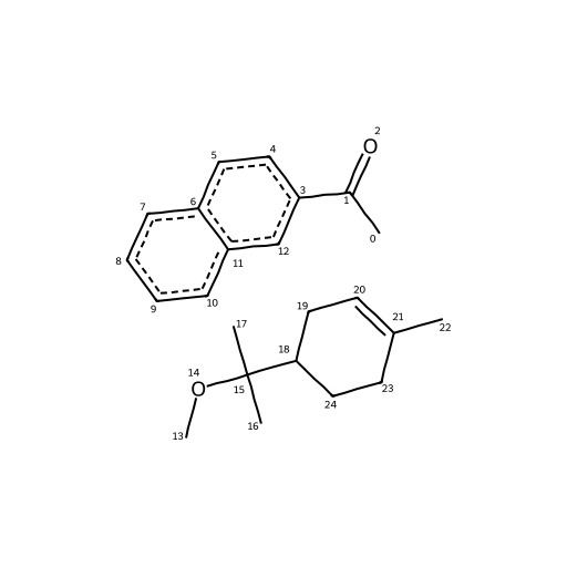 CC(=O)c1ccc2ccccc2c1.COC(C)(C)C1CC=C(C)CC1